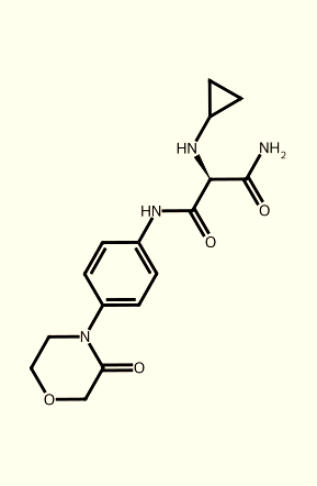 NC(=O)[C@H](NC1CC1)C(=O)Nc1ccc(N2CCOCC2=O)cc1